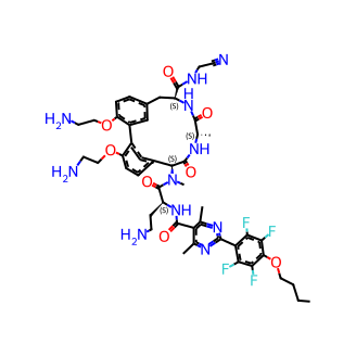 CCCCOc1c(F)c(F)c(-c2nc(C)c(C(=O)N[C@@H](CCN)C(=O)N(C)[C@@H]3C(=O)N[C@@H](C)C(=O)N[C@H](C(=O)NCC#N)Cc4ccc(OCCN)c(c4)-c4cc3ccc4OCCN)c(C)n2)c(F)c1F